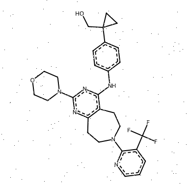 OCC1(c2ccc(Nc3nc(N4CCOCC4)nc4c3CCN(c3ncccc3C(F)(F)F)CC4)cc2)CC1